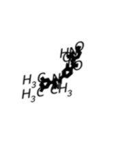 Cc1cc(C)cc(-c2nc(-c3ccc4c(c3)CN(C3CCC(=O)NC3=O)C4=O)cn2C)c1